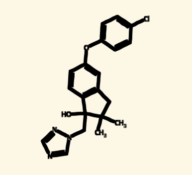 CC1(C)Cc2cc(Oc3ccc(Cl)cc3)ccc2C1(O)Cn1cncn1